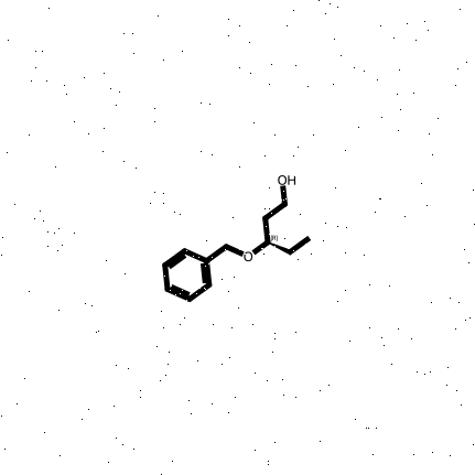 CC[C@H](CCO)OCc1ccccc1